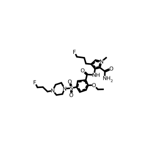 CCOc1ccc(S(=O)(=O)N2CCN(CCCF)CC2)cc1C(=O)Nc1c(CCCF)cn(C)c1C(N)=O